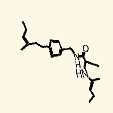 CC/C=C(/C)CCc1ccc(CNC(=O)C(C)N/C(C)=C/CC)cc1